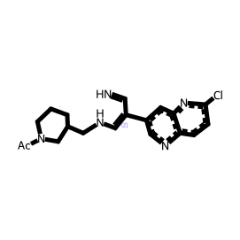 CC(=O)N1CCCC(CN/C=C(\C=N)c2cnc3ccc(Cl)nc3c2)C1